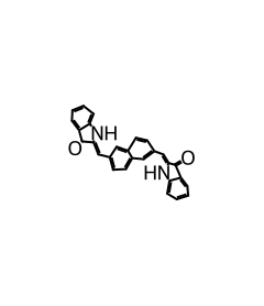 O=C1C(=Cc2ccc3cc(C=C4Nc5ccccc5C4=O)ccc3c2)Nc2ccccc21